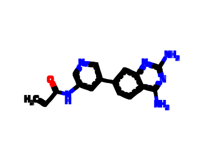 C=CC(=O)Nc1cncc(-c2ccc3c(N)nc(N)nc3c2)c1